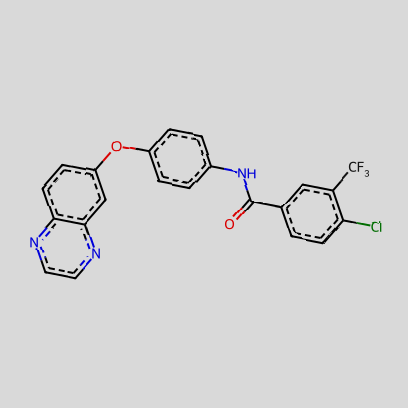 O=C(Nc1ccc(Oc2ccc3nccnc3c2)cc1)c1ccc(Cl)c(C(F)(F)F)c1